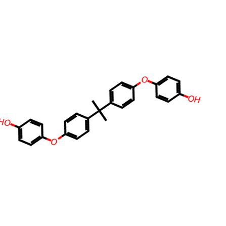 CC(C)(c1ccc(Oc2ccc(O)cc2)cc1)c1ccc(Oc2ccc(O)cc2)cc1